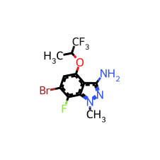 CC(Oc1cc(Br)c(F)c2c1c(N)nn2C)C(F)(F)F